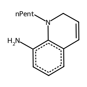 CCCCCN1CC=Cc2cccc(N)c21